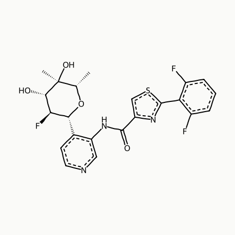 C[C@@H]1O[C@H](c2ccncc2NC(=O)c2csc(-c3c(F)cccc3F)n2)[C@@H](F)[C@H](O)[C@@]1(C)O